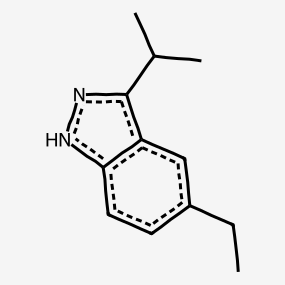 CCc1ccc2[nH]nc(C(C)C)c2c1